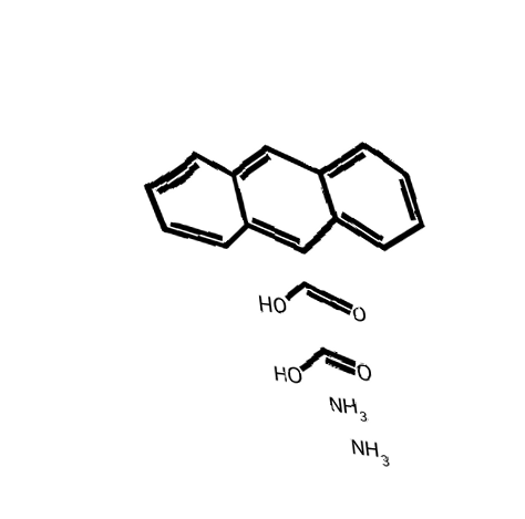 N.N.O=CO.O=CO.c1ccc2cc3ccccc3cc2c1